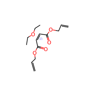 C=CCOC(=O)/C=C\C(=O)OCC=C.CCOCC